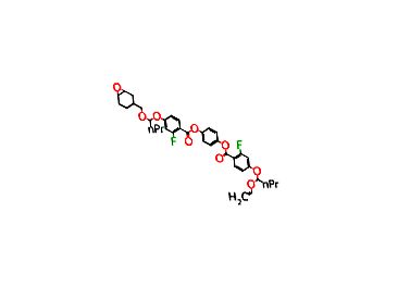 C=COC(CCC)Oc1ccc(C(=O)Oc2ccc(OC(=O)c3ccc(OC(CCC)OCC4CCC5OC5C4)cc3F)cc2)c(F)c1